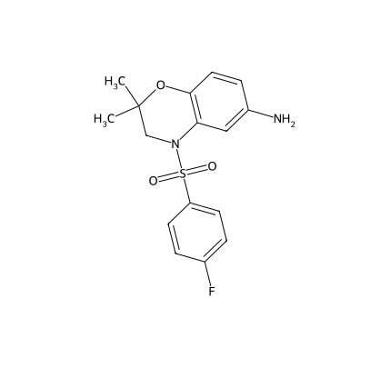 CC1(C)CN(S(=O)(=O)c2ccc(F)cc2)c2cc(N)ccc2O1